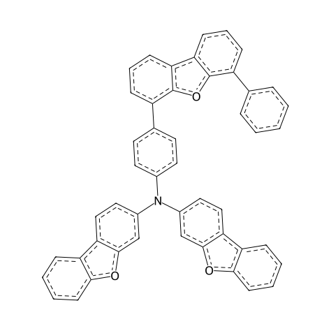 c1ccc(-c2cccc3c2oc2c(-c4ccc(N(c5ccc6c(c5)oc5ccccc56)c5ccc6c(c5)oc5ccccc56)cc4)cccc23)cc1